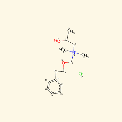 CC(O)C[N+](C)(C)COCCc1ccccc1.[Cl-]